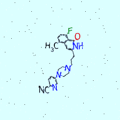 Cc1ccc(F)c2c(=O)[nH]c(CCCN3CCN(c4ccc(C#N)nc4)CC3)cc12